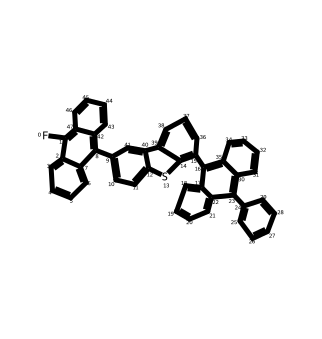 Fc1c2ccccc2c(-c2ccc3sc4c(-c5c6ccccc6c(-c6ccccc6)c6ccccc56)cccc4c3c2)c2ccccc12